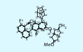 C#Cc1c(F)ccc2cccc(-c3ncc4c(N5CC6CCC(C5)N6)nc(OC[C@]56CC(=C)CN5C[C@@H](OC)C6)nc4c3F)c12